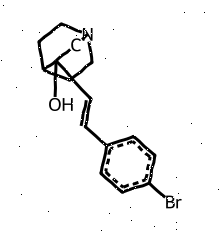 OC1(C=Cc2ccc(Br)cc2)CN2CCC1CC2